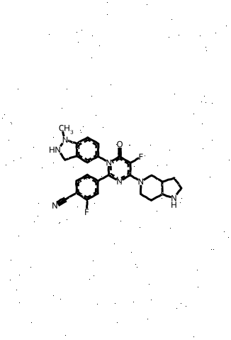 CN1NCc2cc(-n3c(-c4ccc(C#N)c(F)c4)nc(N4CCC5NCCC5C4)c(F)c3=O)ccc21